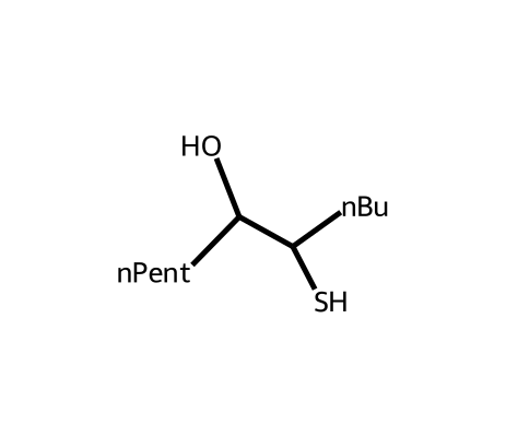 CCCCCC(O)C(S)CCCC